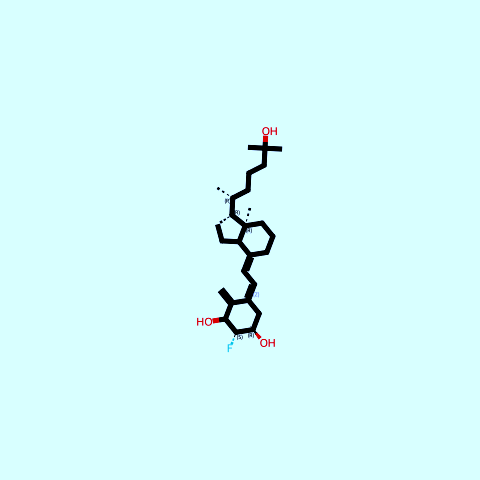 C=C1/C(=C\C=C2CCC[C@@]3(C)C2CC[C@@H]3[C@H](C)CCCC(C)(C)O)C[C@@H](O)[C@H](F)C1O